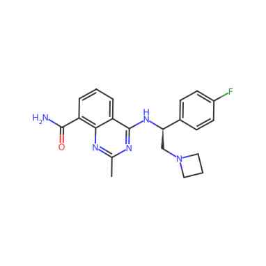 Cc1nc(N[C@H](CN2CCC2)c2ccc(F)cc2)c2cccc(C(N)=O)c2n1